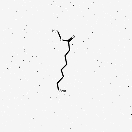 CCCCCCCCCCCC(=O)O[SiH3]